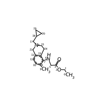 CCOC(=O)CNc1c(C)ccc2c1CCN(CC1CC1)C2